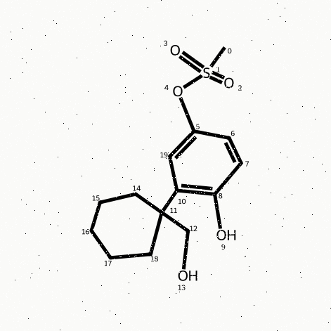 CS(=O)(=O)Oc1ccc(O)c(C2(CO)CCCCC2)c1